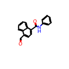 O=Cc1ccc(C(=O)Nc2ccccc2)c2ccccc12